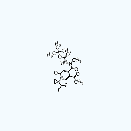 CC(=O)c1cn(C2(C(F)F)CC2)c(=O)cc1C(=O)N(C)NC(=O)OC(C)(C)C